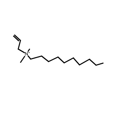 C=CC[N+](C)(C)CCCCCCCCCC